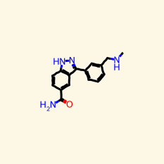 CNCc1cccc(-c2n[nH]c3ccc(C(N)=O)cc23)c1